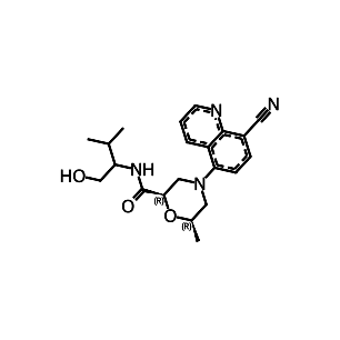 CC(C)C(CO)NC(=O)[C@H]1CN(c2ccc(C#N)c3ncccc23)C[C@@H](C)O1